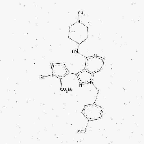 CCOC(=O)c1c(-c2nn(Cc3ccc(OC)cc3)c3ccnc(NC4CCN(C)CC4)c23)cnn1C(C)C